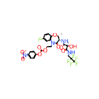 C[C@H]1Oc2ccc(F)cc2N(CCOC(=O)Oc2ccc([N+](=O)[O-])cc2)C(=O)[C@H]1NC(=O)[C@@](C)(O)C(=O)NCC(F)(F)C(F)(F)F